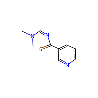 CN(C)/C=N\C(=S)c1cccnc1